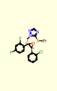 CC(C)Sc1ncnn1C[C@]1(c2ccc(F)cc2F)O[C@H]1c1ccccc1Cl